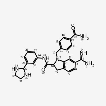 N=C(N)c1ccc2c(c1)N(Cc1ccc(C(N)=O)cc1)C(C(=O)Nc1cccc(C3NCCN3)c1)C2